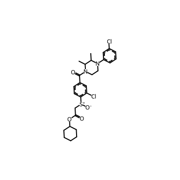 CC1C(C)N(c2cccc(Cl)c2)CCN1C(=O)c1ccc([S+]([O-])CC(=O)OC2CCCCC2)c(Cl)c1